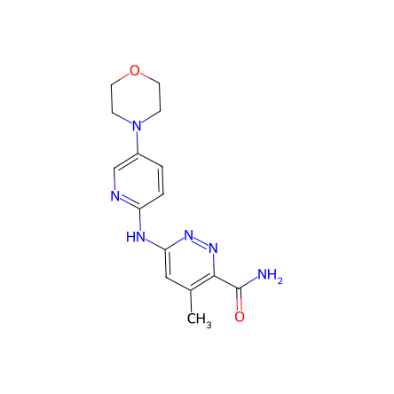 Cc1cc(Nc2ccc(N3CCOCC3)cn2)nnc1C(N)=O